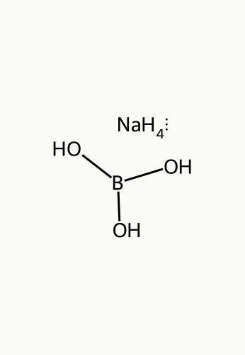 OB(O)O.[NaH4]